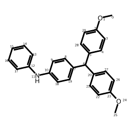 COc1ccc(C(c2ccc(Nc3ccccc3)cc2)c2ccc(OC)cc2)cc1